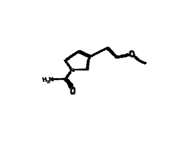 COCCC1CCN(C(N)=O)C1